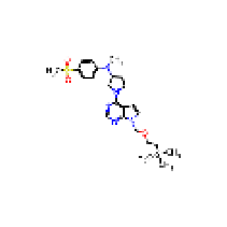 CN(c1ccc(S(C)(=O)=O)cc1)C1CCN(c2ncnc3c2ccn3COCC[Si](C)(C)C)C1